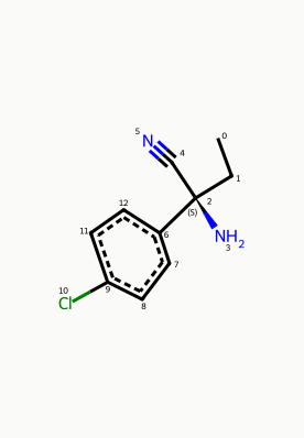 CC[C@@](N)(C#N)c1ccc(Cl)cc1